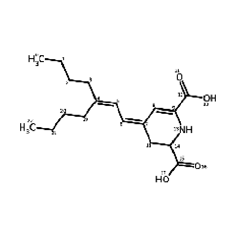 CCCCC(=C/C=C1\C=C(C(=O)O)NC(C(=O)O)C1)CCCC